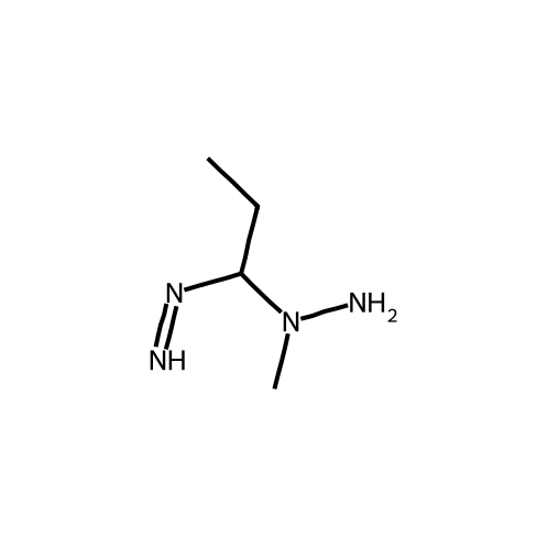 CCC(N=N)N(C)N